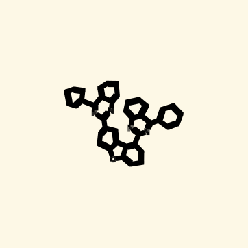 c1ccc(-c2nc(-c3ccc4oc5cccc(-c6nc(-c7ccccc7)c7ccccc7n6)c5c4c3)nc3ccccc23)cc1